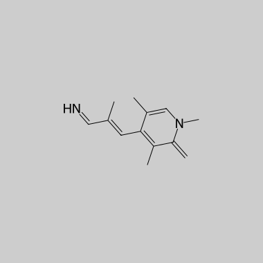 C=C1C(C)=C(/C=C(\C)C=N)C(C)=CN1C